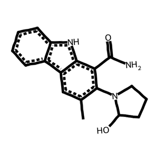 Cc1cc2c([nH]c3ccccc32)c(C(N)=O)c1N1CCCC1O